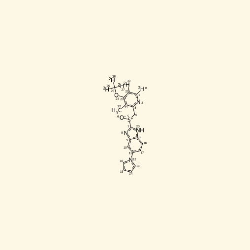 [2H]c1nc(C[S+]([O-])c2nc3cc(-n4cccc4)ccc3[nH]2)c(C)c(OC([2H])([2H])[2H])c1[2H]